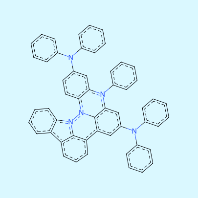 c1ccc(N(c2ccccc2)c2cc3c4c(c2)n(-c2ccccc2)c2cc(N(c5ccccc5)c5ccccc5)ccc2n-4n2c4ccccc4c4cccc3c42)cc1